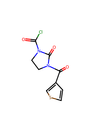 O=C(Cl)N1CCN(C(=O)c2ccsc2)C1=O